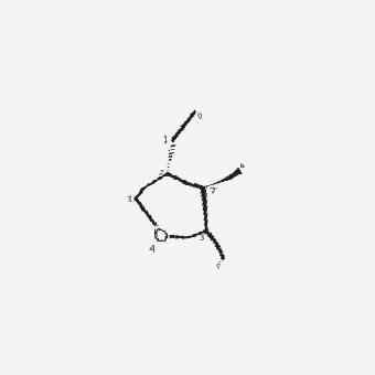 CC[C@H]1COC(C)[C@@H]1C